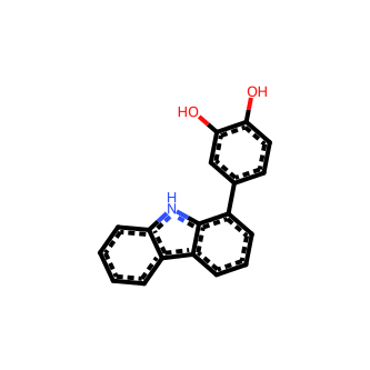 Oc1ccc(-c2cccc3c2[nH]c2ccccc23)cc1O